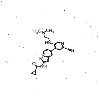 CN(C)CCNc1cnc(C#N)cc1-c1ccn2nc(NC(=O)C3CC3)cc2c1